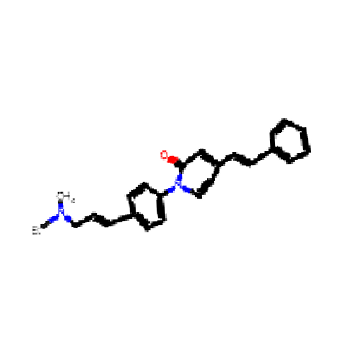 CCN(C)C/C=C/c1ccc(-n2ccc(C=Cc3ccccc3)cc2=O)cc1